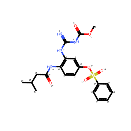 COC(=O)NC(=N)Nc1cc(OS(=O)(=O)c2ccccc2)ccc1NC(=O)CC(C)C